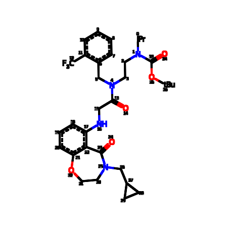 CC(C)N(CCN(Cc1ccccc1C(F)(F)F)C(=O)CNc1cccc2c1C(=O)N(CC1CC1)CCO2)C(=O)OC(C)(C)C